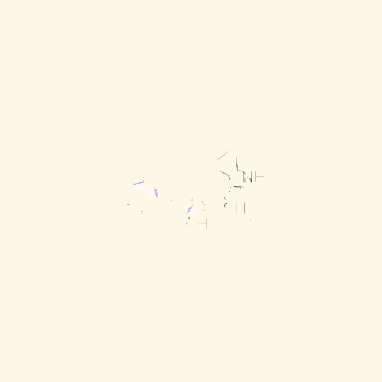 C=C(CS/C=C(\C)CC/C1=C/C=C\CCCC1)c1c[nH]c2ccccc12